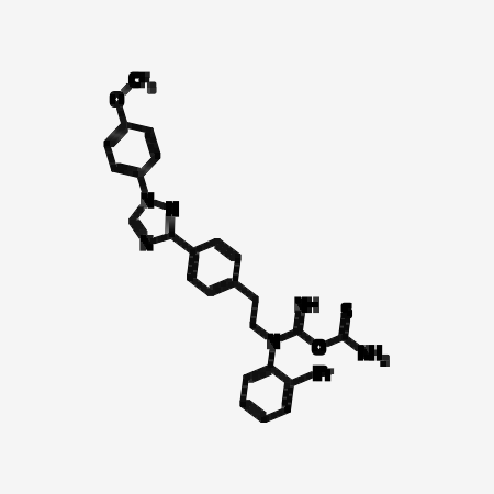 CC(C)c1ccccc1N(CCc1ccc(-c2ncn(-c3ccc(OC(F)(F)F)cc3)n2)cc1)C(=N)OC(N)=S